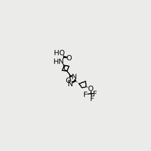 O=C(O)NC12CC(c3nc([C@H]4C[C@@H](OC(F)(F)F)C4)no3)(C1)C2